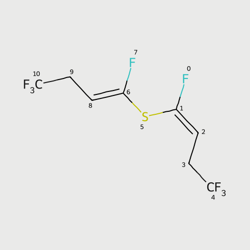 FC(=CCC(F)(F)F)SC(F)=CCC(F)(F)F